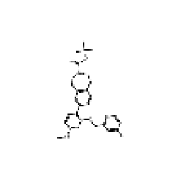 COc1ccc(-c2ccc3c(c2)CCN(C(=O)OC(C)(C)C)CC3)c(OCc2cc(C)ccn2)c1